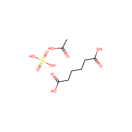 CC(=O)O.O=C(O)CCCCC(=O)O.O=S(=O)(O)O